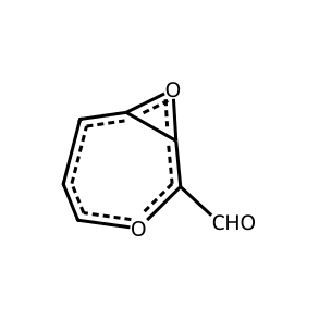 O=Cc1occcc2oc1-2